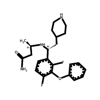 C[C@H](CC(N)=O)N[C@H](CC1CCNCC1)c1ccc(F)c(Oc2ccccc2)c1F